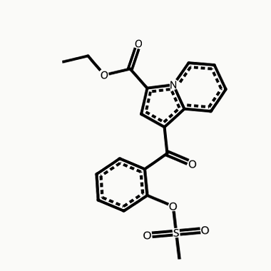 CCOC(=O)c1cc(C(=O)c2ccccc2OS(C)(=O)=O)c2ccccn12